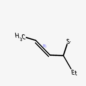 C/C=C/C([S])CC